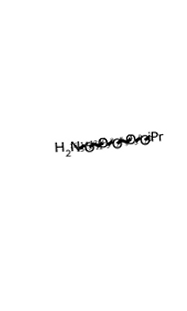 CC(C)OCCOCCOCCOCCOCCN